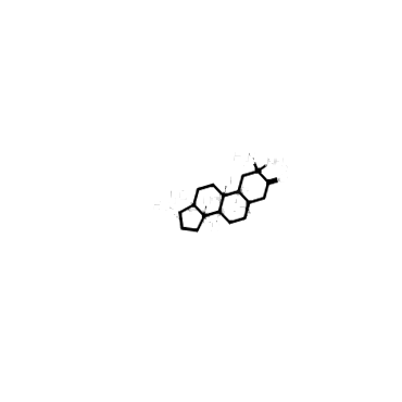 C[C@]12CC[C@H]3[C@@H](CCC4CC(=O)C(N)(N)C[C@@]43C)[C@@H]1CC[C@@H]2O